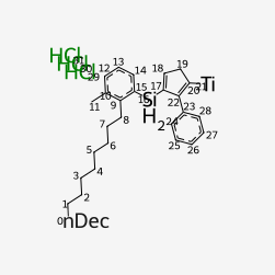 CCCCCCCCCCCCCCCCCCc1c(C)cccc1[SiH2]C1=CC[C]([Ti])=C1c1ccccc1.Cl.Cl.Cl